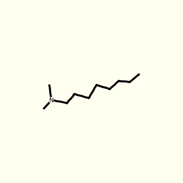 CCCCCC[CH]CN(C)C